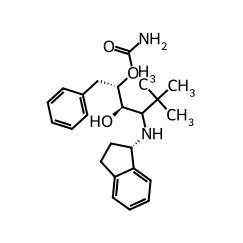 CC(C)(C)C(N[C@H]1CCc2ccccc21)[C@@H](O)[C@H](Cc1ccccc1)OC(N)=O